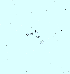 [Sb].[Sb].[Se].[Se].[Se]